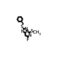 CSc1nc(F)cc2nc(SCc3ccccc3)nn12